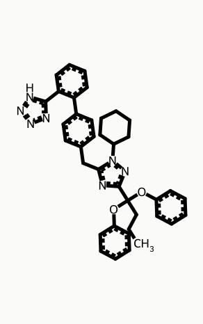 CCCC(Oc1ccccc1)(Oc1ccccc1)c1nc(Cc2ccc(-c3ccccc3-c3nnn[nH]3)cc2)n(C2CCCCC2)n1